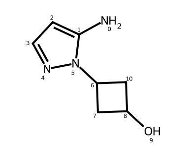 Nc1ccnn1C1CC(O)C1